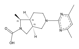 Cc1cc(C)nc(N2CC[C@H]3[C@@H](C2)CN(C(=O)O)[C@H]3C)n1